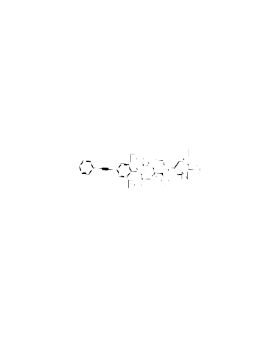 COC1N=CC(N2CCN3C(=O)N(c4c(F)cc(C#Cc5ccccc5)cc4F)C(=O)C[C@@]3(C)C2=O)=CN1